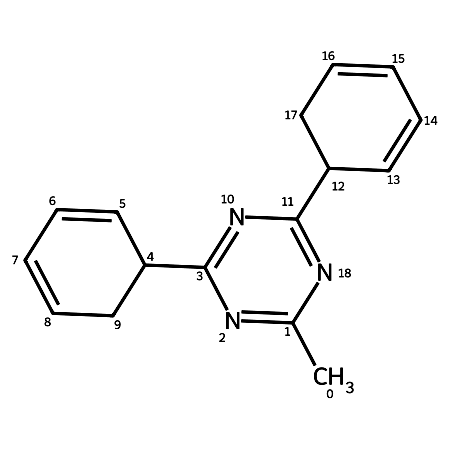 Cc1nc(C2C=CC=CC2)nc(C2C=CC=CC2)n1